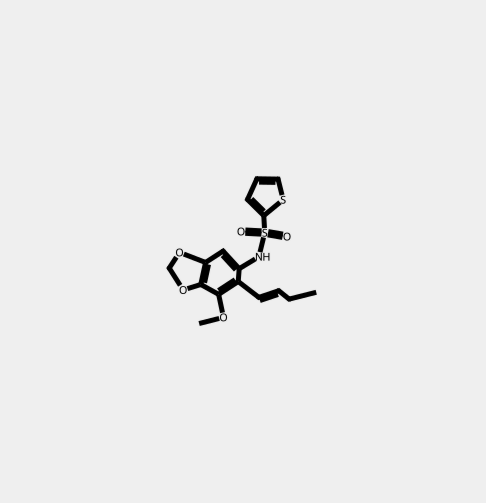 CC/C=C/c1c(NS(=O)(=O)c2cccs2)cc2c(c1OC)OCO2